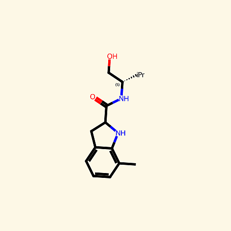 Cc1cccc2c1NC(C(=O)N[C@H](CO)C(C)C)C2